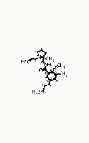 C=CCN1CCC[C@@]1(C)CNC(=O)c1cc(CCCC)cc(C)c1OC